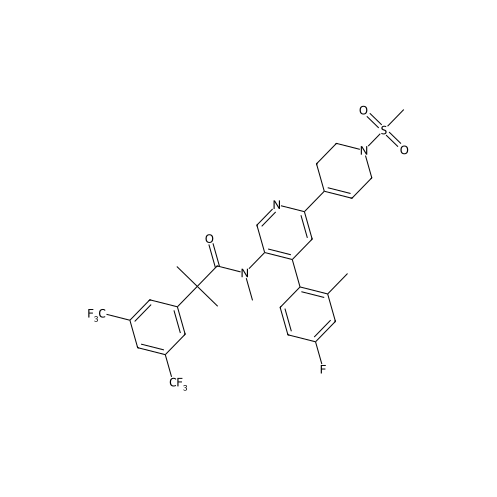 Cc1cc(F)ccc1-c1cc(C2=CCN(S(C)(=O)=O)CC2)ncc1N(C)C(=O)C(C)(C)c1cc(C(F)(F)F)cc(C(F)(F)F)c1